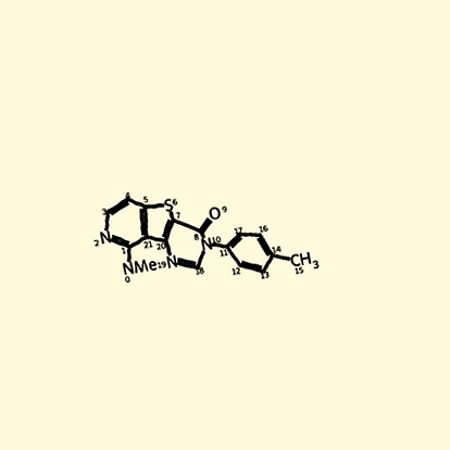 CNc1nccc2sc3c(=O)n(-c4ccc(C)cc4)cnc3c12